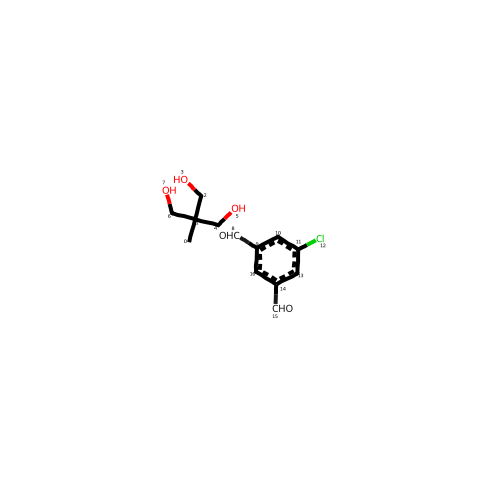 CC(CO)(CO)CO.O=Cc1cc(Cl)cc(C=O)c1